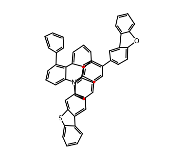 c1ccc(-c2ccccc2-c2c(-c3ccccc3)cccc2N(c2ccc(-c3ccc4oc5ccccc5c4c3)cc2)c2ccc3c(c2)sc2ccccc23)cc1